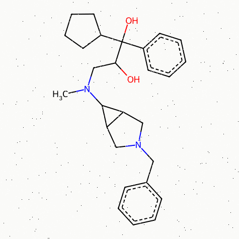 CN(CC(O)C(O)(c1ccccc1)C1CCCC1)C1C2CN(Cc3ccccc3)CC21